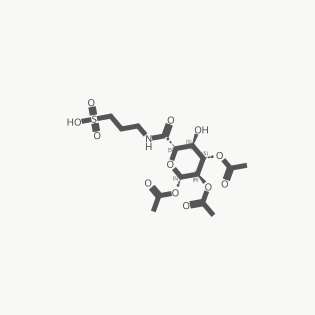 CC(=O)O[C@@H]1O[C@H](C(=O)NCCCS(=O)(=O)O)[C@@H](O)[C@H](OC(C)=O)[C@H]1OC(C)=O